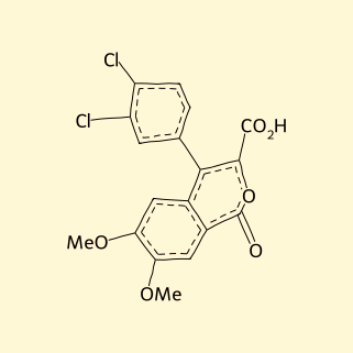 COc1cc2c(-c3ccc(Cl)c(Cl)c3)c(C(=O)O)oc(=O)c2cc1OC